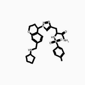 Cc1ccc(S(=O)(=O)NC(Cc2cn(C3CCOc4cc(CNC5CCCC5)ccc43)nn2)C(N)=O)cc1